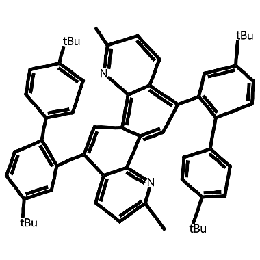 Cc1ccc2c(-c3cc(C(C)(C)C)ccc3-c3ccc(C(C)(C)C)cc3)cc3c(cc(-c4cc(C(C)(C)C)ccc4-c4ccc(C(C)(C)C)cc4)c4ccc(C)nc43)c2n1